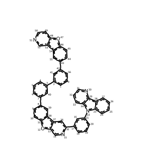 c1cc(-c2cccc(-c3ccc4oc5cnc(-c6cccc(-n7c8ccccc8c8ncccc87)c6)cc5c4c3)c2)cc(-c2ccc3oc4ccncc4c3c2)c1